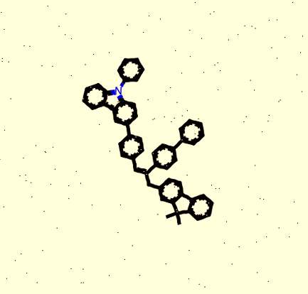 CC1(C)c2ccccc2-c2ccc(C/C(=C/c3ccc(-c4ccc5c(c4)c4ccccc4n5-c4ccccc4)cc3)c3ccc(-c4ccccc4)cc3)cc21